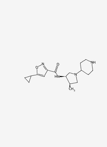 C[C@@H]1CN(C2CCNCC2)C[C@@H]1NC(=O)c1cc(C2CC2)on1